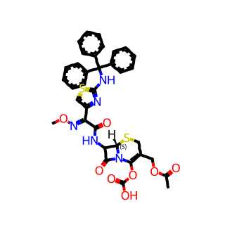 CON=C(C(=O)NC1C(=O)N2C(OC(=O)O)=C(COC(C)=O)CS[C@@H]12)c1csc(NC(c2ccccc2)(c2ccccc2)c2ccccc2)n1